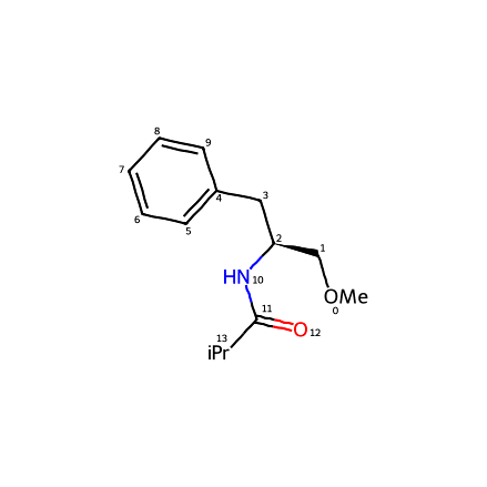 COC[C@H](Cc1ccccc1)NC(=O)C(C)C